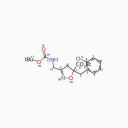 CCOC(=O)C1(Cc2ccccc2Cl)CC(CNC(=O)OC(C)(C)C)=NO1